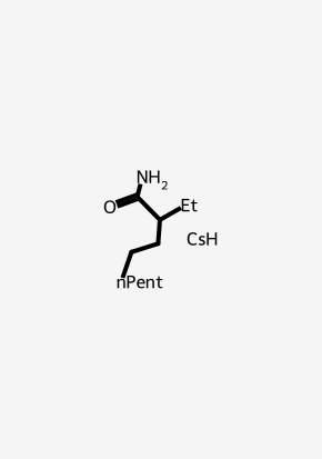 CCCCCCCC(CC)C(N)=O.[CsH]